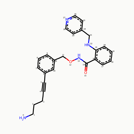 NCCCC#Cc1cccc(CONC(=O)c2ccccc2NCc2ccncc2)c1